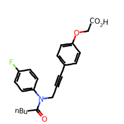 CCCCC(=O)N(CC#Cc1ccc(OCC(=O)O)cc1)c1ccc(F)cc1